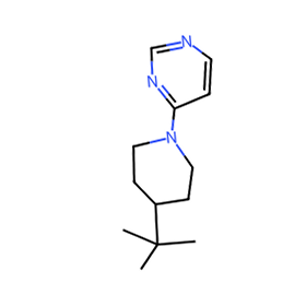 CC(C)(C)C1CCN(c2ccncn2)CC1